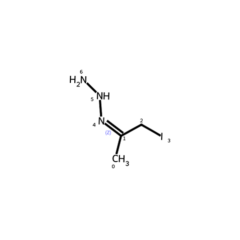 C/C(CI)=N/NN